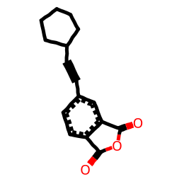 O=C1OC(=O)c2cc(C#CC3CCCCC3)ccc21